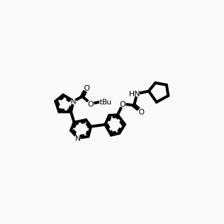 CC(C)(C)OC(=O)n1cccc1-c1cncc(-c2cccc(OC(=O)NC3CCCC3)c2)c1